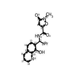 CC(C)C(NC(=O)c1cc(=O)n(C)o1)c1ccc2cccnc2c1O